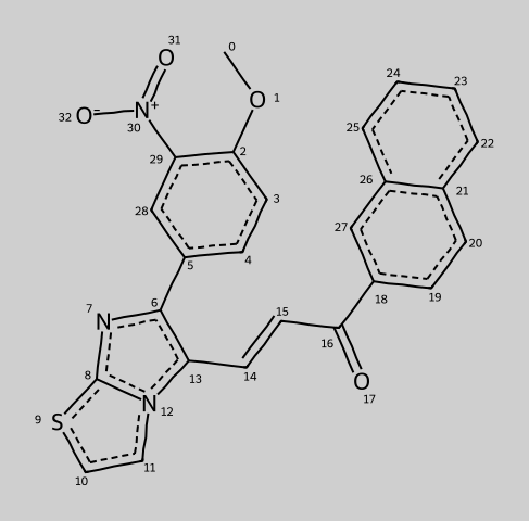 COc1ccc(-c2nc3sccn3c2C=CC(=O)c2ccc3ccccc3c2)cc1[N+](=O)[O-]